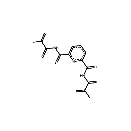 C=C(C)C(=O)NC(=O)c1cccc(C(=O)NC(=O)C(=C)C)n1